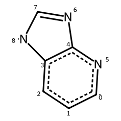 [c]1ccc2c(n1)N=C[N]2